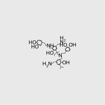 CCC(C)(CN(CCc1ccc(O)c(O)c1)Cc1cc(CCN)cc(C(C)C)c1O)c1cc(CCN)cc(CNCCc2ccc(O)c(O)c2)c1O